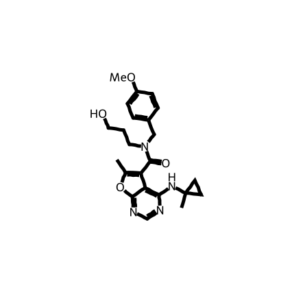 COc1ccc(CN(CCCO)C(=O)c2c(C)oc3ncnc(NC4(C)CC4)c23)cc1